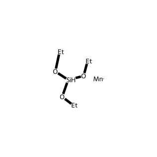 CCO[SiH](OCC)OCC.[Mn]